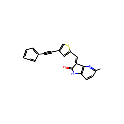 Cc1ccc2c(n1)C(=Cc1cc(C#Cc3ccccc3)cs1)C(=O)N2